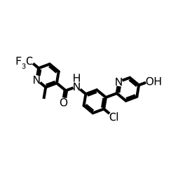 Cc1nc(C(F)(F)F)ccc1C(=O)Nc1ccc(Cl)c(-c2ccc(O)cn2)c1